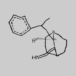 CC(c1ccccc1)[C@@H]1C(=N)C2CCN1CC2